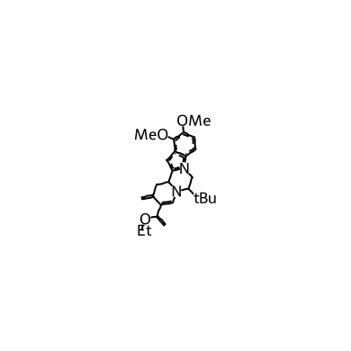 C=C1CC2c3cc4c(OC)c(OC)ccc4n3CC(C(C)(C)C)N2C=C1C(=C)OCC